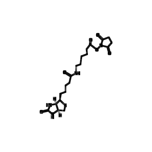 O=C(CCCC[C@H]1SC[C@H]2NC(=O)N[C@H]21)NCCCCCC(=O)ON1C(=O)CCC1=O